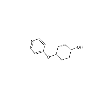 OC1CCC(Oc2ccncc2)CC1